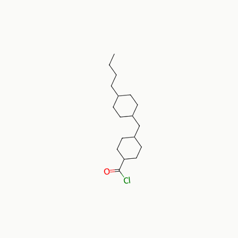 CCCCC1CCC(CC2CCC(C(=O)Cl)CC2)CC1